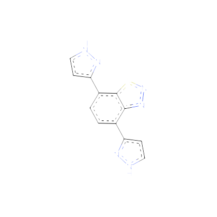 c1cc(-c2ccc(-c3cc[nH]n3)c3snnc23)n[nH]1